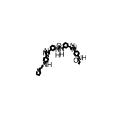 C=CC(=O)Nc1ccc(-n2cc(-c3cccc(NC(=O)Nc4cccc(-c5cn(-c6ccc(NCCCN7CCCC7)cc6)nn5)c4)c3)nn2)cc1